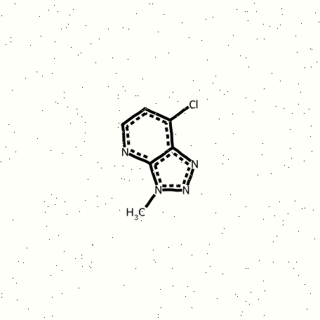 Cn1nnc2c(Cl)ccnc21